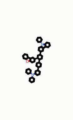 c1ccc(N(c2ccccc2)c2cccc(-c3ccc(-c4ccc(-c5ccc6c(c5)c5ccccc5n6-c5ccccc5)cc4-c4ccc5oc6ccccc6c5c4)cc3)c2)cc1